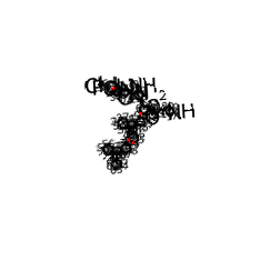 Nc1ncc(-c2cccc(S(=O)(=O)CCC3CCNCC3)c2)cc1-c1nc2ccccc2o1.[Cl][Pd][Cl].c1ccc(P(c2ccccc2)c2ccccc2)cc1.c1ccc(P(c2ccccc2)c2ccccc2)cc1